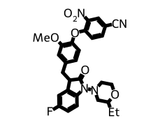 CCC1CN(N2C(=O)C(Cc3ccc(Oc4ccc(C#N)cc4[N+](=O)[O-])c(OC)c3)c3cc(F)ccc32)CCO1